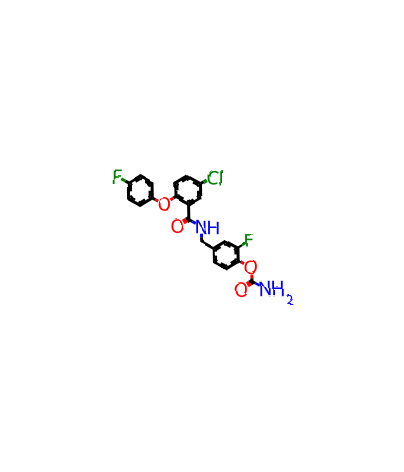 NC(=O)Oc1ccc(CNC(=O)c2cc(Cl)ccc2Oc2ccc(F)cc2)cc1F